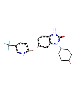 O=c1[nH]c2ccc(Oc3ccc(C(F)(F)F)cn3)cc2n1C1CCC(O)CC1